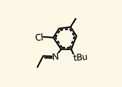 CC=Nc1c(Cl)cc(C)cc1C(C)(C)C